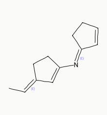 C/C=C1C=C(/N=C2/C=CCC2)CC/1